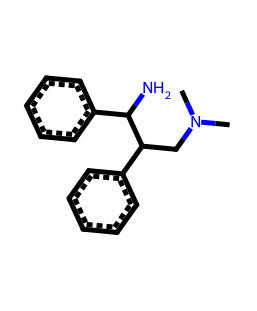 CN(C)C[C](c1ccccc1)C(N)c1ccccc1